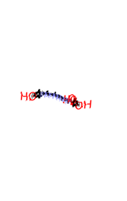 C=C1C[C@@H](O)CC(C)(C)[C@@]1(O)CC(=O)/C(C)=C/C=C/C(C)=C/C=C/C=C(C)/C=C/C=C(C)/C=C/[C@H]1C(C)=C[C@H](O)CC1(C)C